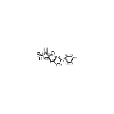 O=C1NC(=S)NC1=Cc1ccc(-c2ccccc2)cc1